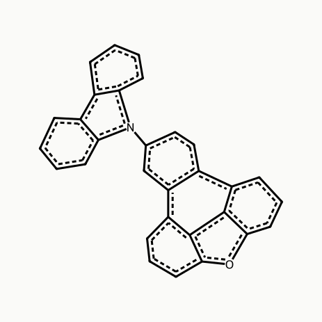 c1cc2oc3cccc4c5cc(-n6c7ccccc7c7ccccc76)ccc5c(c1)c2c34